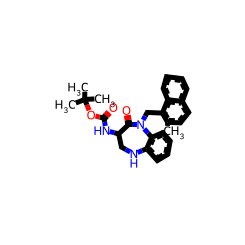 Cc1ccc2ccccc2c1CN1C(=O)C(NC(=O)OC(C)(C)C)CNc2ccccc21